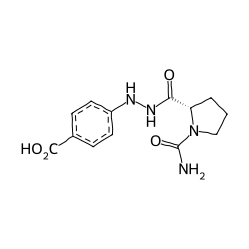 NC(=O)N1CCC[C@H]1C(=O)NNc1ccc(C(=O)O)cc1